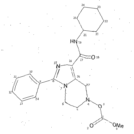 COC(=O)ON1CCn2c(-c3ccccc3)nc(C(=O)NC3CCCCC3)c2C1